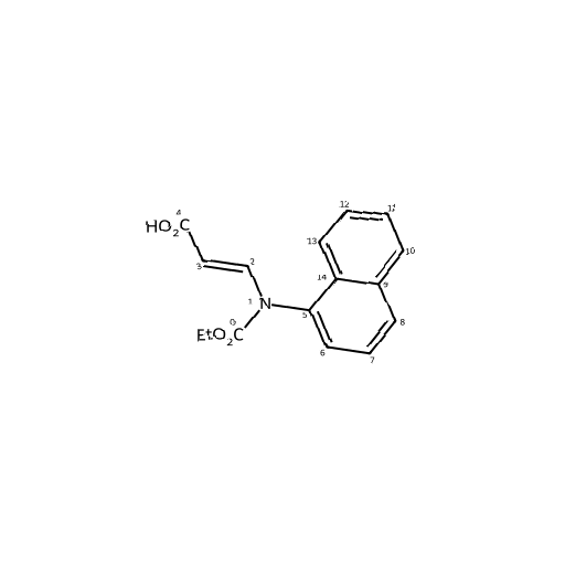 CCOC(=O)N(C=CC(=O)O)c1cccc2ccccc12